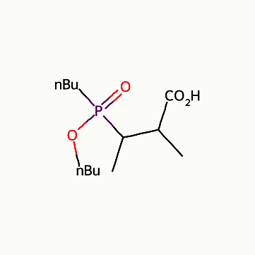 CCCCOP(=O)(CCCC)C(C)C(C)C(=O)O